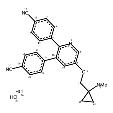 CNC1(COc2cnc(-c3ccc(C#N)cc3)c(-c3ccc(C#N)cc3)c2)CC1.Cl.Cl